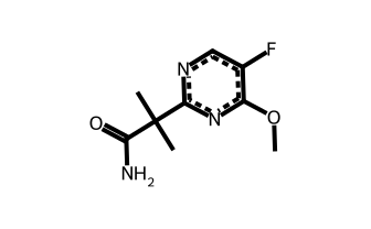 COc1nc(C(C)(C)C(N)=O)ncc1F